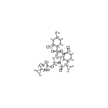 N#CC1(NC(=O)O[C@H]2C[C@@H](S(=O)(=O)c3ccc(F)cc3Cl)CN2C(=O)C2(c3ccc(Cl)nc3)CC2)CC1